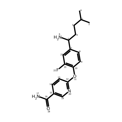 CC(C)CCC(N)c1ccc(Oc2ccc(C(N)=O)cn2)c(F)c1